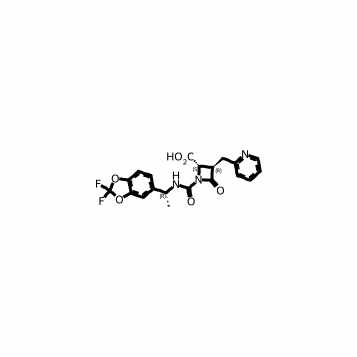 C[C@@H](NC(=O)N1C(=O)[C@H](Cc2ccccn2)[C@H]1C(=O)O)c1ccc2c(c1)OC(F)(F)O2